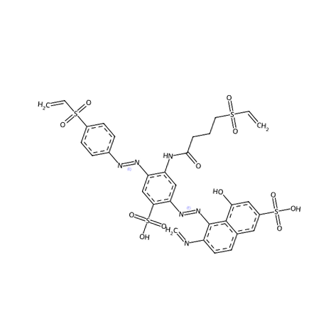 C=CS(=O)(=O)CCCC(=O)Nc1cc(/N=N/c2c(N=C)ccc3cc(S(=O)(=O)O)cc(O)c23)c(S(=O)(=O)O)cc1/N=N/c1ccc(S(=O)(=O)C=C)cc1